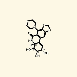 O=C1N[C@@H]2C(=C[C@H](O)[C@@H](O)[C@H]2O)c2cc3c(c(N4CCOCC4)c21)OCO3